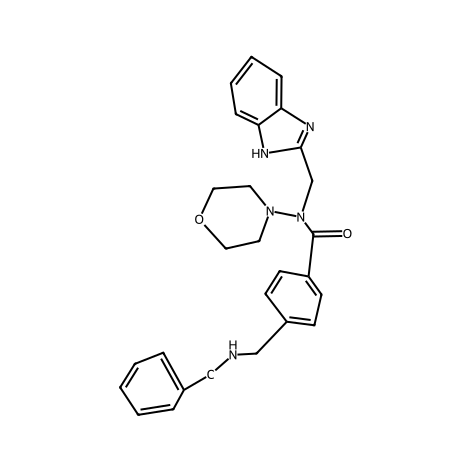 O=C(c1ccc(CNCc2ccccc2)cc1)N(Cc1nc2ccccc2[nH]1)N1CCOCC1